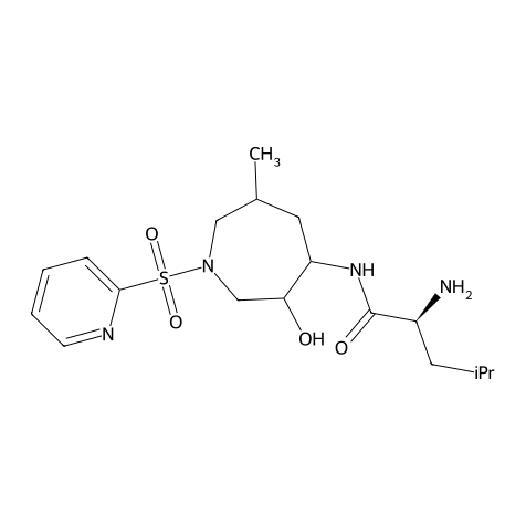 CC(C)C[C@H](N)C(=O)NC1CC(C)CN(S(=O)(=O)c2ccccn2)CC1O